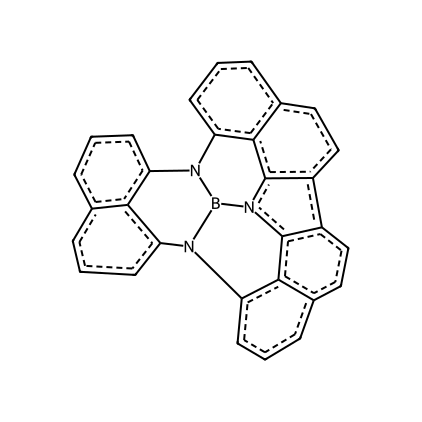 c1cc2c3c(cccc3c1)N1B3N2c2cccc4ccc5c6ccc7cccc1c7c6n3c5c24